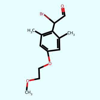 COCCOc1cc(C)c(C(Br)C=O)c(C)c1